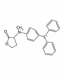 CN(c1ccc([S+](c2ccccc2)c2ccccc2)cc1)C1CCOC1=O